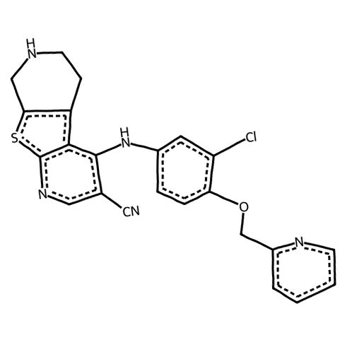 N#Cc1cnc2sc3c(c2c1Nc1ccc(OCc2ccccn2)c(Cl)c1)CCNC3